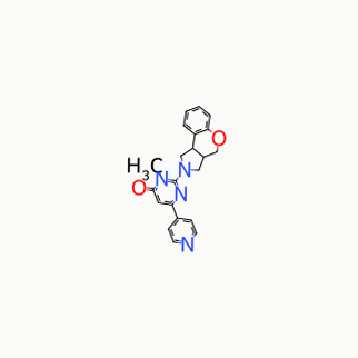 Cn1c(N2CC3COc4ccccc4C3C2)nc(-c2ccncc2)cc1=O